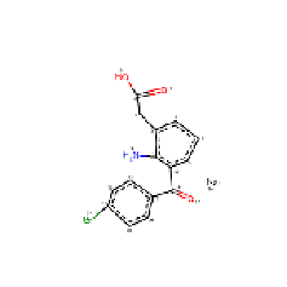 Nc1c(CC(=O)O)cccc1C(=O)c1ccc(Br)cc1.[Na]